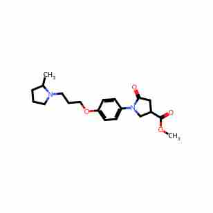 COC(=O)C1CC(=O)N(c2ccc(OCCCN3CCCC3C)cc2)C1